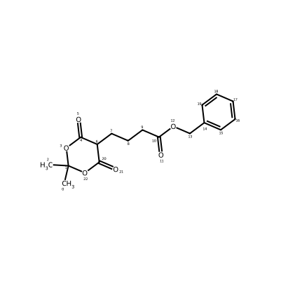 CC1(C)OC(=O)C(CCCC(=O)OCc2ccccc2)C(=O)O1